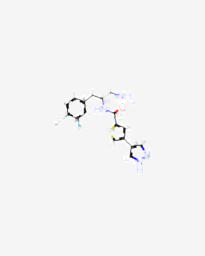 NC[C@H](Cc1ccc(F)c(F)c1)NC(=O)c1cc(-c2cn[nH]c2)cs1